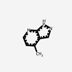 Cc1ccnc2[pH]ncc12